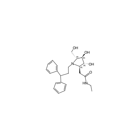 CCNC(=O)C[C@@H]1[C@@H](O)[C@H](O)[C@@H](CO)N1CCC(c1ccccc1)c1ccccc1